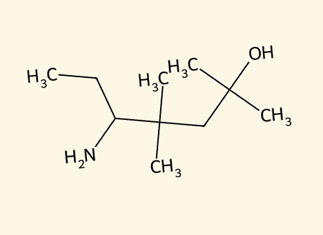 CCC(N)C(C)(C)CC(C)(C)O